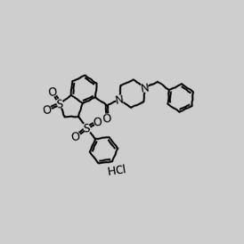 Cl.O=C(c1cccc2c1C(S(=O)(=O)c1ccccc1)CS2(=O)=O)N1CCN(Cc2ccccc2)CC1